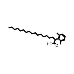 CCCCCCCCCCCCCCCCC(C(=O)O)c1c(C)cccc1C